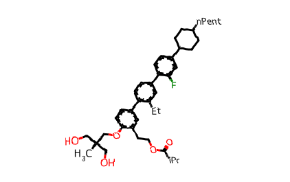 CCCCCC1CCC(c2ccc(-c3ccc(-c4ccc(OCC(C)(CO)CO)c(CCOC(=O)C(C)C)c4)c(CC)c3)c(F)c2)CC1